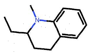 CCC1CCc2ccccc2N1C